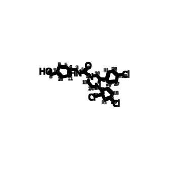 O=C(NCc1ccc(CO)cc1)N1CCN(c2ccc(Cl)cc2Cl)C(c2ccc(Cl)cc2)C1